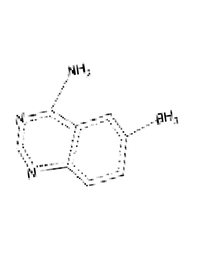 Bc1ccc2ncnc(N)c2c1